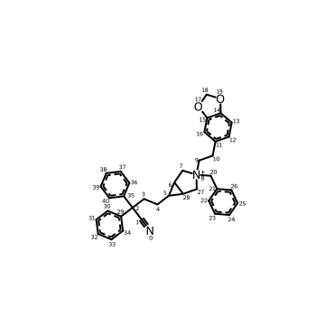 N#CC(CCC1C2C[N+](CCc3ccc4c(c3)OCO4)(Cc3ccccc3)CC12)(c1ccccc1)c1ccccc1